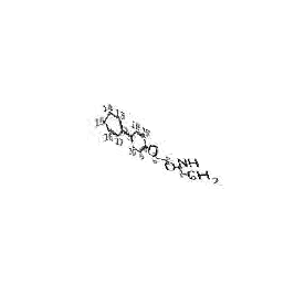 C=CC(=N)OCCOC1=CCC(C2=CCCC=C2)C=C1